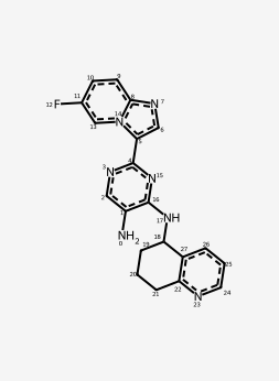 Nc1cnc(-c2cnc3ccc(F)cn23)nc1NC1CCCc2ncccc21